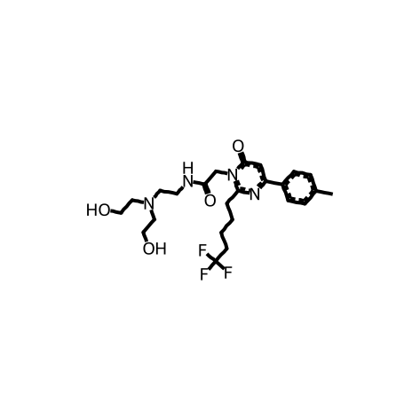 Cc1ccc(-c2cc(=O)n(CC(=O)NCCN(CCO)CCO)c(CCCCC(F)(F)F)n2)cc1